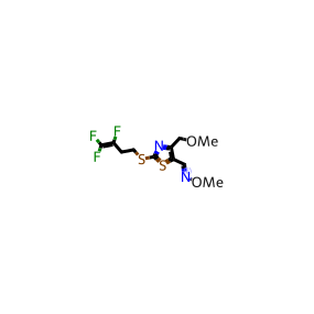 COCc1nc(SCCC(F)=C(F)F)sc1/C=N/OC